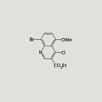 CCOC(=O)c1cnc2c(Br)ccc(OC)c2c1Cl